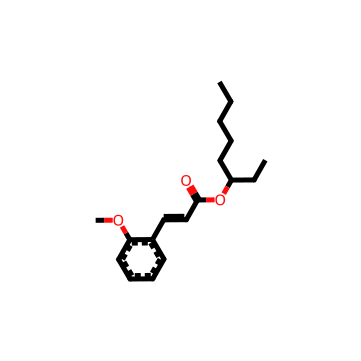 CCCCCC(CC)OC(=O)C=Cc1ccccc1OC